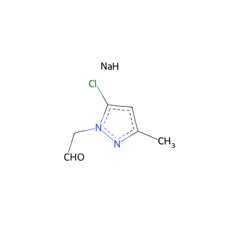 Cc1cc(Cl)n(CC=O)n1.[NaH]